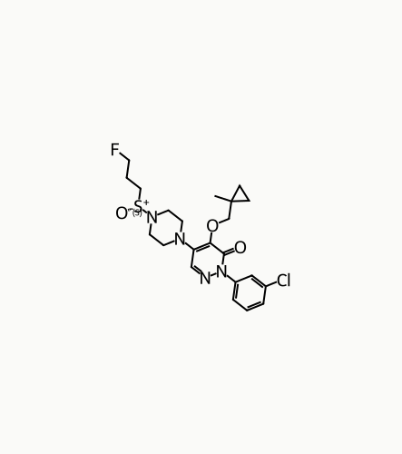 CC1(COc2c(N3CCN([S@+]([O-])CCCF)CC3)cnn(-c3cccc(Cl)c3)c2=O)CC1